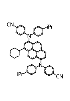 [C-]#[N+]c1ccc(N(c2ccc(C(C)C)cc2)c2cc(C3CCCCC3)c3ccc4c(N(c5ccc(C#N)cc5)c5ccc(C(C)C)cc5)ccc5ccc2c3c54)cc1